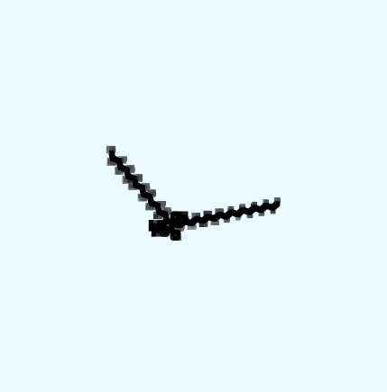 CCCCCCCCCCCCCCCCCCC(O)(C(=O)O)C(O)CCCCCCCCCCCCCCC